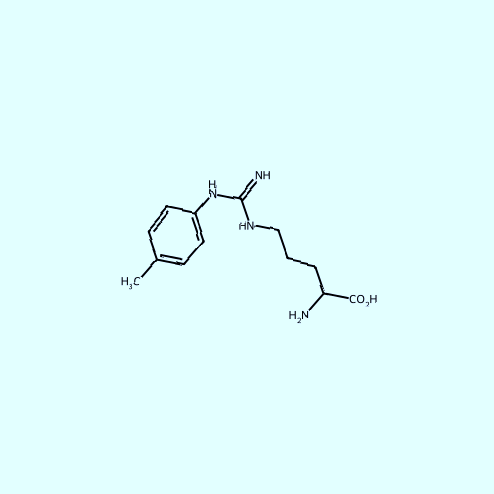 Cc1ccc(NC(=N)NCCCC(N)C(=O)O)cc1